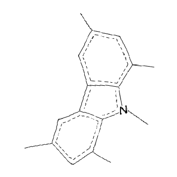 Cc1cc(C)c2c(c1)c1cc(C)cc(C)c1n2C